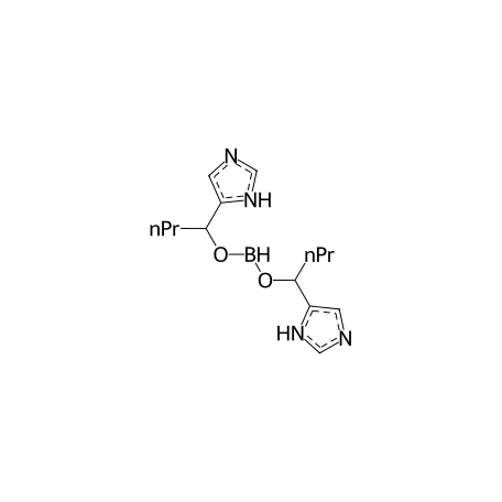 CCCC(OBOC(CCC)c1cnc[nH]1)c1cnc[nH]1